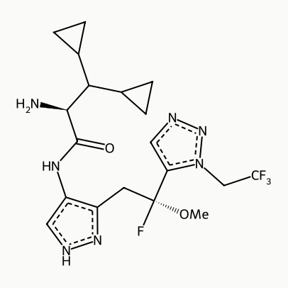 CO[C@](F)(Cc1n[nH]cc1NC(=O)[C@@H](N)C(C1CC1)C1CC1)c1cnnn1CC(F)(F)F